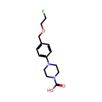 O=C(O)N1CCN(c2ccc(COCCF)cc2)CC1